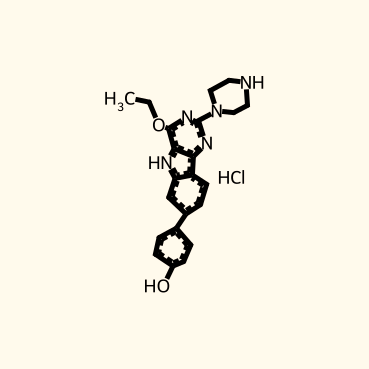 CCOc1nc(N2CCNCC2)nc2c1[nH]c1cc(-c3ccc(O)cc3)ccc12.Cl